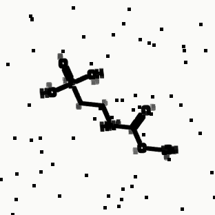 CC(C)(C)OC(=O)NCCP(=O)(O)O